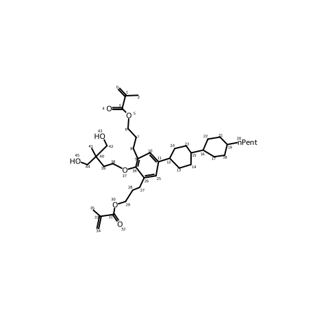 C=C(C)C(=O)OCCCc1cc(C2CCC(C3CCC(CCCCC)CC3)CC2)cc(CCCOC(=O)C(=C)C)c1OCCC(C)(CO)CO